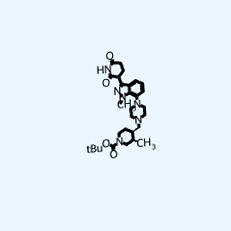 C[C@H]1CN(C(=O)OC(C)(C)C)CC[C@H]1CN1CCN(c2cccc3c(C4CCC(=O)NC4=O)nn(C)c23)CC1